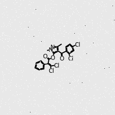 Cc1nn(C)c(OC(=O)C(=C(Cl)Cl)c2ccccc2)c1C(=O)c1ccc(Cl)cc1Cl